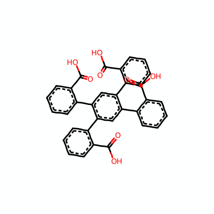 O=C(O)c1ccccc1-c1cc(-c2ccccc2C(=O)O)c(-c2ccccc2C(=O)O)cc1-c1ccccc1C(=O)O